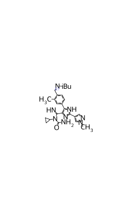 CCC(C)/N=C\c1ccc(-c2[nH]c(-c3cnn(C)c3)nc2C(=N)N(C(N)=O)C2CC2)cc1C